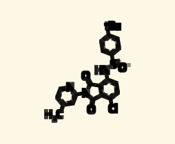 Cc1ccnc(N2C(=O)c3c(Cl)ccc(N[S+]([O-])c4ccc(C(C)(C)C)cc4)c3C2=O)c1